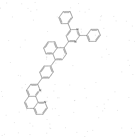 c1ccc(-c2cc(-c3ccc(-c4ccc(-c5ccc6ccc7cccnc7c6n5)cc4)c4ccccc34)nc(-c3ccccc3)n2)cc1